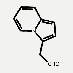 O=CCc1ccc2ccccn12